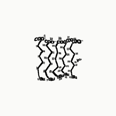 CC(C)(C)CCCCCC(=O)[O-].CC(C)(C)CCCCCC(=O)[O-].CC(C)(C)CCCCCC(=O)[O-].CC(C)(C)CCCCCC(=O)[O-].CC(C)(C)CCCCCC(=O)[O-].[V+5]